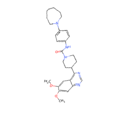 COc1cc2ncnc(C3CCN(C(=O)Nc4ccc(N5CCCCCC5)cc4)CC3)c2cc1OC